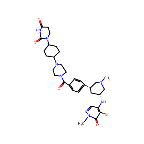 CN1C[C@H](Nc2cnn(C)c(=O)c2Br)C[C@H](c2ccc(C(=O)N3CCN(C4CCC(N5CCC(=O)NC5=O)CC4)CC3)cc2)C1